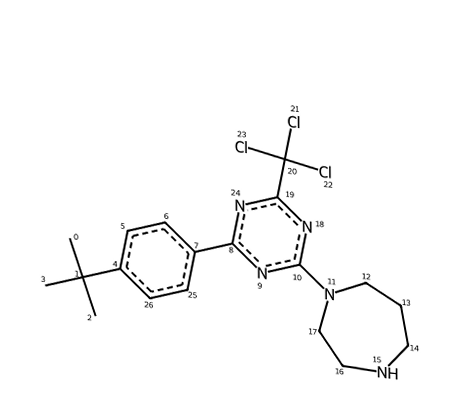 CC(C)(C)c1ccc(-c2nc(N3CCCNCC3)nc(C(Cl)(Cl)Cl)n2)cc1